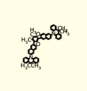 Cc1c(C)c2c3cc4ccc(N5c6ccccc6C(C)(C)c6ccccc65)cc4cc3oc2c2c1oc1cc3cc(N4c5ccccc5C(C)(C)c5ccccc54)ccc3cc12